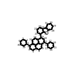 c1ccc(-c2ccc3ccc4c(-c5ccccc5)cc(-c5cccc6c5oc5ccccc56)c5ccc2c3c45)cc1